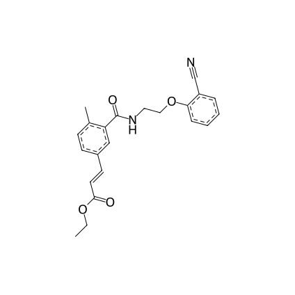 CCOC(=O)/C=C/c1ccc(C)c(C(=O)NCCOc2ccccc2C#N)c1